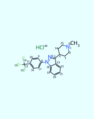 CN1CCC(c2nn(-c3ccc(C(F)(F)F)cc3)c3ccccc23)CC1.Cl